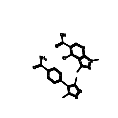 Cc1nn(C)c2ncc(C(=O)O)c(Cl)c12.Cc1noc(C)c1-c1ccc(C(N)=O)cc1